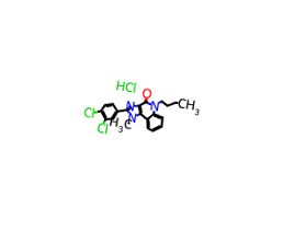 CCCCn1c(=O)c2nc(-c3ccc(Cl)c(Cl)c3)n(C)c2c2ccccc21.Cl